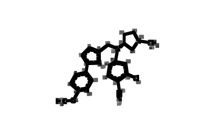 COc1ccc(-c2ccc(CN(c3ccc(C#N)c(Cl)c3)[C@H]3CCN(C)C3)s2)cn1